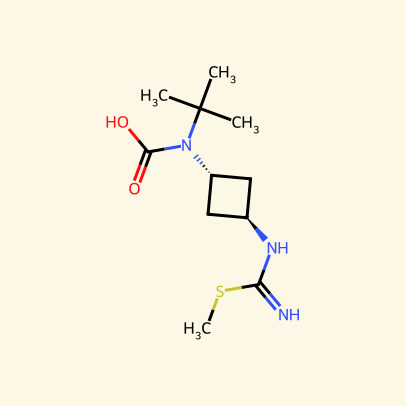 CSC(=N)N[C@H]1C[C@H](N(C(=O)O)C(C)(C)C)C1